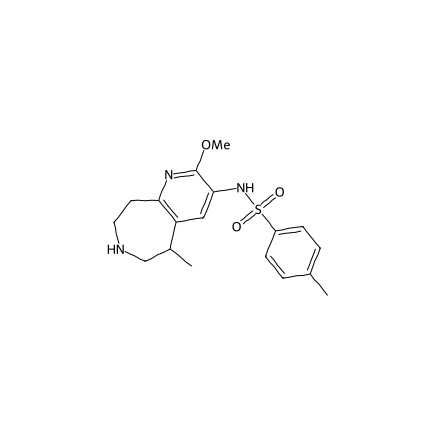 COc1nc2c(cc1NS(=O)(=O)c1ccc(C)cc1)C(C)CNCC2